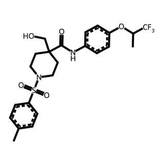 Cc1ccc(S(=O)(=O)N2CCC(CO)(C(=O)Nc3ccc(OC(C)C(F)(F)F)cc3)CC2)cc1